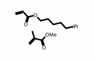 C=C(C)C(=O)OC.C=CC(=O)OCCCCCC(C)C